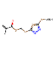 C=C(C)C(=O)SCSc1nnc(SCCCCCC)s1